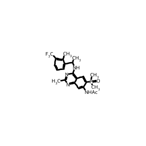 CC(=O)Nc1cc2nc(C)nc(NC(C)c3cccc(C(F)(F)F)c3C)c2cc1P(C)(C)=O